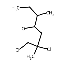 CCC(C)C([O])CC(C)(Cl)CCl